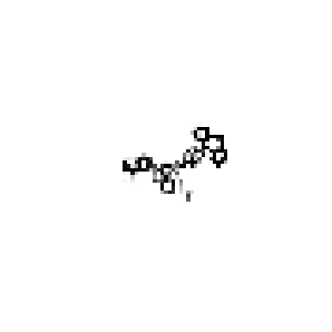 CC(=O)O[C@@H](CCN1CCN(C2c3ccccc3C3CC3c3ccccc32)CC1)COc1cccc(C(F)(F)F)c1